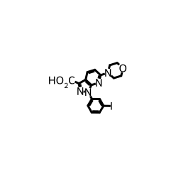 O=C(O)c1nn(-c2cccc(I)c2)c2nc(N3CCOCC3)ccc12